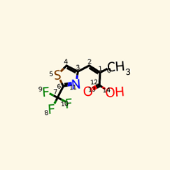 CC(=Cc1csc(C(F)(F)F)n1)C(=O)O